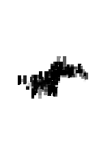 CN(C)CCCNc1ccc(S(=O)(=O)NC(=O)c2ccc(N3CCN(CC4=C(c5ccc(Cl)cc5)CCC(C)(C)C4)CC3)cc2Oc2ccc3[nH]ccc3c2)cc1[N+](=O)[O-]